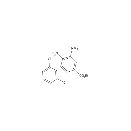 CCOC(=O)c1ccc([N+](=O)[O-])c(NC)c1.Clc1cccc(Cl)c1